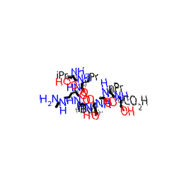 C=C(N)NCCC[C@@H](NC(=O)[C@H](CC(C)C)NC(=O)[C@@H](N)[C@H](O)C(C)C)C(=O)N[C@H](C(=O)N[C@H](C(=O)NCC(=O)N[C@@H](CCC)C(=O)N[C@@H](CO)C(=O)O)[C@H](C)O)[C@@H](C)CC